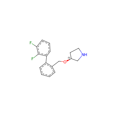 Fc1cccc(-c2ccccc2CO[C@H]2CCNC2)c1F